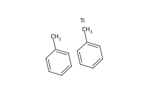 Cc1ccccc1.Cc1ccccc1.[Ti]